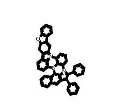 C1=C2c3ccccc3OC2Cc2c1n1c3c(cccc23)B2c3c-1cccc3-n1c(-c3ccccc3)c(-c3ccccc3)c3cc4ccccc4c2c31